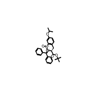 CC(C)Oc1ccc(C[C@H](N=C(c2ccccc2)c2ccccc2)C(=O)OC(C)(C)C)c([N+](=O)[O-])c1